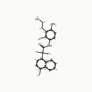 Nc1ccc(NC(=O)C(F)(F)c2ccc(F)c3ccccc23)c(F)c1CCO